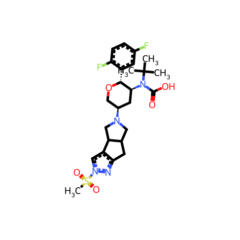 CC(C)(C)N(C(=O)O)[C@H]1C[C@@H](N2CC3Cc4nn(S(C)(=O)=O)cc4C3C2)CO[C@@H]1c1cc(F)ccc1F